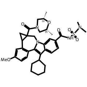 COc1ccc2c(c1)C1CC1(C(=O)N1C[C@@H](C)O[C@@H](C)C1)Cn1c-2c(C2CCCCC2)c2ccc(C(=O)NS(=O)(=O)N(C)C)cc21